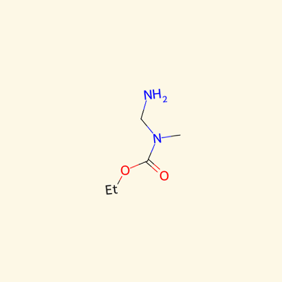 CCOC(=O)N(C)CN